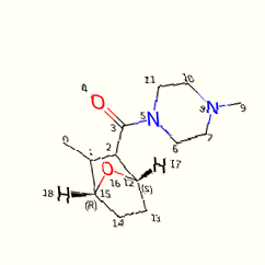 CC1C(C(=O)N2CCN(C)CC2)[C@@H]2CC[C@H]1O2